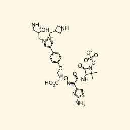 CC1(C)C(NC(=O)/C(=N\O[C@@H](COc2ccc(-c3cn(CC(O)CN)[n+](CC4CNC4)c3)cc2)C(=O)O)c2csc(N)n2)C(=O)N1OS(=O)(=O)[O-]